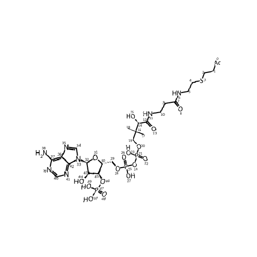 CC(=O)CCSCCNC(=O)CCNC(=O)[C@H](O)C(C)(C)COP(=O)(O)OP(=O)(O)OC[C@H]1O[C@H](n2cnc3c(N)ncnc32)[C@H](O)[C@@H]1OP(=O)(O)O